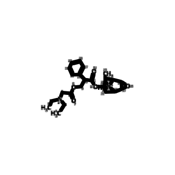 CCN(CC)CC(=O)OCC(C(=O)OC1CC2C3OC3C(C1)[N+]2(C)CC)c1ccccc1